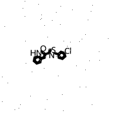 O=c1[nH]c2ccccc2cc1-c1csc(-c2cccc(Cl)c2)n1